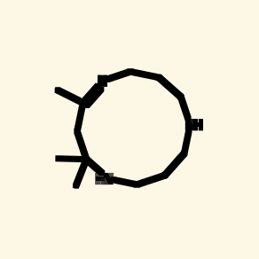 CC1=NCCCNCCCNC(C)(C)C1